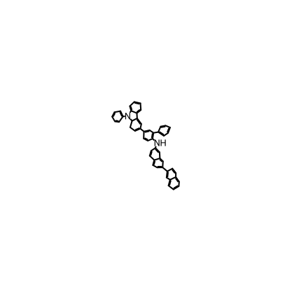 C1=C(c2ccc(Nc3ccc4ccc(-c5ccc6ccccc6c5)cc4c3)c(-c3ccccc3)c2)C=C2c3ccccc3N(c3ccccc3)C2C1